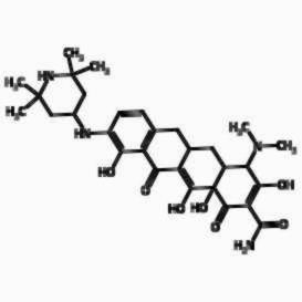 CN(C)C1C(O)=C(C(N)=O)C(=O)C2(O)C(O)=C3C(=O)c4c(ccc(NC5CC(C)(C)NC(C)(C)C5)c4O)CC3CC12